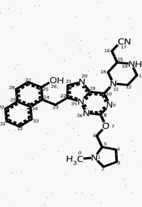 CN1CCCC1COc1nc(N2CCNC(CC#N)C2)c2ncc(Cc3c(O)ccc4ccccc34)n2n1